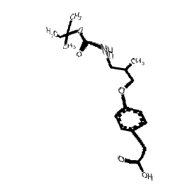 CC(CNC(=O)OC(C)(C)C)COc1ccc(CC(=O)O)cc1